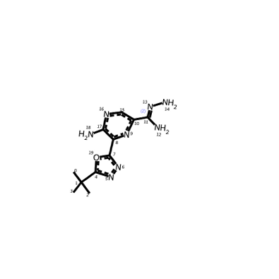 CC(C)(C)c1nnc(-c2nc(/C(N)=N/N)cnc2N)o1